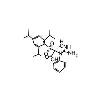 CC(C)c1cc(C(C)C)c(S(=O)(=O)[C@](CO)(C(=O)O)N(C(=N)N)c2ccccc2)c(C(C)C)c1